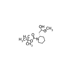 COC(O)C[C@@H]1CCCCN1C(=O)OC(C)(C)C